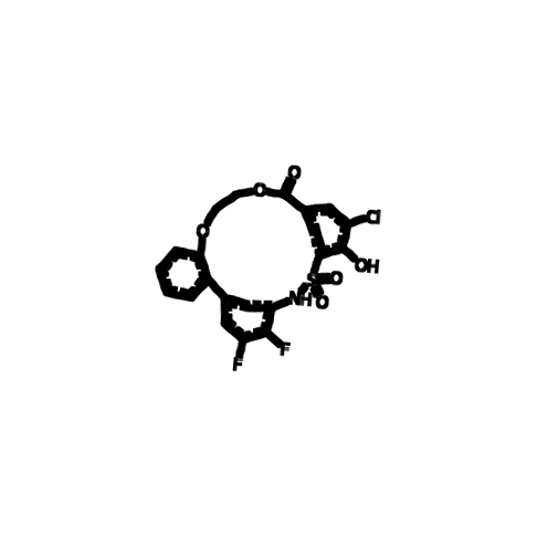 O=C1OCCOc2ccccc2-c2cc(F)c(F)c(c2)NS(=O)(=O)c2cc1cc(Cl)c2O